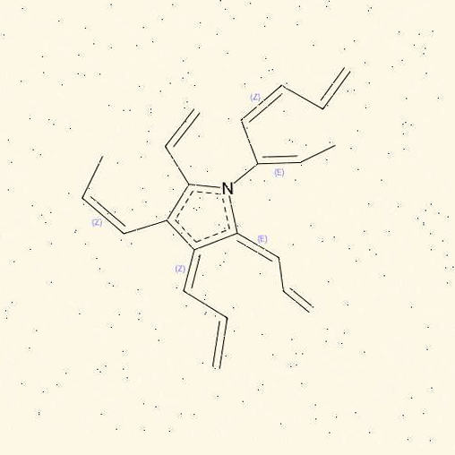 C=C/C=C\C(=C/C)n1c(C=C)c(/C=C\C)c(=C/C=C)/c1=C\C=C